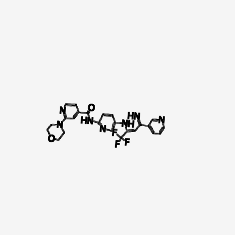 N=C(/C=C(\Nc1ccc(NC(=O)c2ccnc(N3CCOCC3)c2)nc1)C(F)(F)F)c1cccnc1